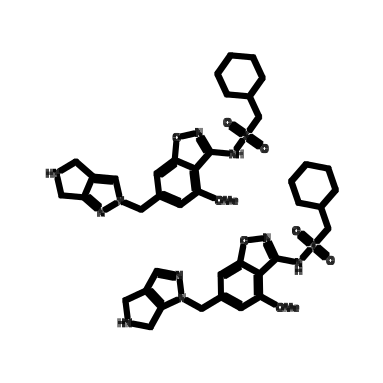 COc1cc(Cn2cc3c(n2)CNC3)cc2onc(NS(=O)(=O)CC3CCCCC3)c12.COc1cc(Cn2ncc3c2CNC3)cc2onc(NS(=O)(=O)CC3CCCCC3)c12